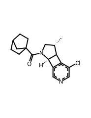 C[C@H]1CN(C(=O)C23CCC(CC2)C3)[C@@H]2c3cncc(Cl)c3C21